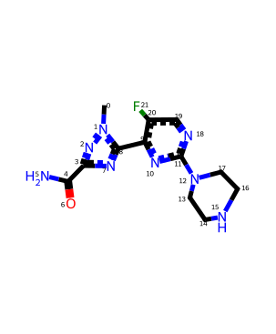 Cn1nc(C(N)=O)nc1-c1nc(N2CCNCC2)ncc1F